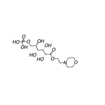 O=C(OCCN1CCOCC1)[C@H](O)[C@@H](O)[C@H](O)[C@H](O)COP(=O)(O)O